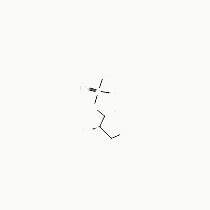 C[C@H](CO)[C@@H](C)OP(=N)(O)O